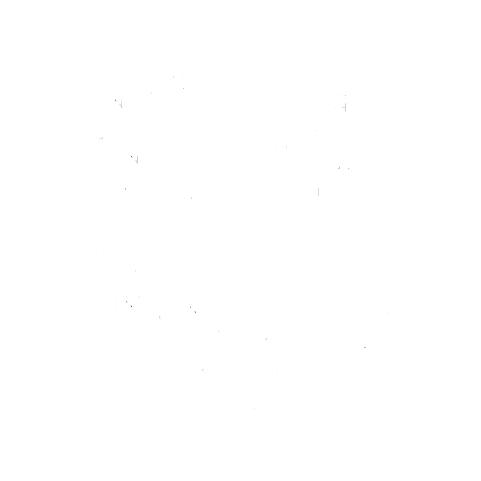 COc1cc(Nc2nc3c(s2)CCCC3Cc2ccccc2)ccc1-n1cnc(Cl)c1.O=C(O)C(F)(F)F